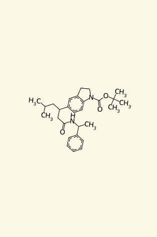 CC(C)CC(CC(=O)NC(C)c1ccccc1)c1ccc2c(c1)CCN2C(=O)OC(C)(C)C